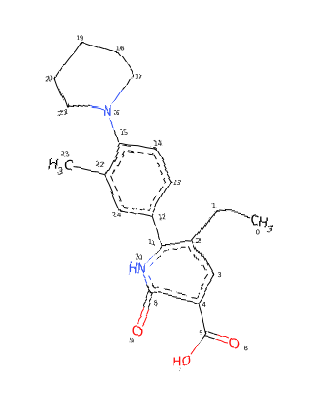 CCc1cc(C(=O)O)c(=O)[nH]c1-c1ccc(N2CCCCC2)c(C)c1